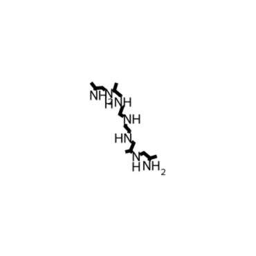 CC(N)CNC(C)CNCCNCCNCC(C)NCC(C)N